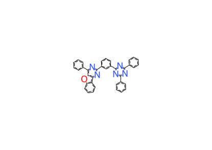 c1ccc(-c2nc(-c3ccccc3)nc(-c3cccc(-c4nc(-c5ccccc5)c5oc6ccccc6c5n4)c3)n2)cc1